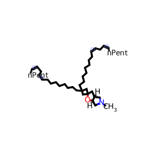 CCCCC/C=C\C/C=C\CCCCCCCCC1(CCCCCCCC/C=C\C/C=C\CCCCC)CC2(C[C@@H]3CN(C)C[C@H]3O2)C1